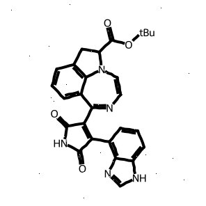 CC(C)(C)OC(=O)C1Cc2cccc3c2N1C=CN=C3C1=C(c2cccc3[nH]cnc23)C(=O)NC1=O